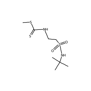 CSC(=S)NCCS(=O)(=O)NC(C)(C)C